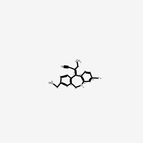 CC/C(C#N)=C1/c2ccc(CO)cc2COc2cc(F)ccc21